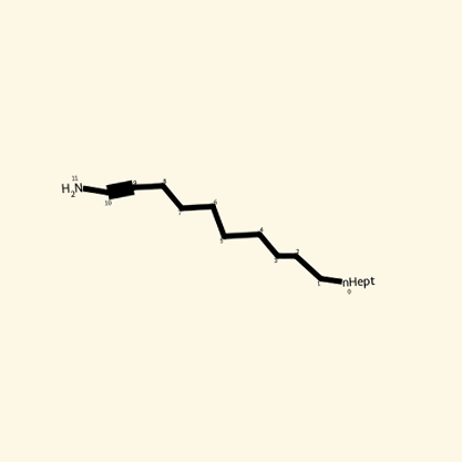 CCCCCCCCCCCCCCCC#CN